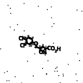 O=C(O)c1cc(COc2ccc(Cl)c(Cl)c2)on1